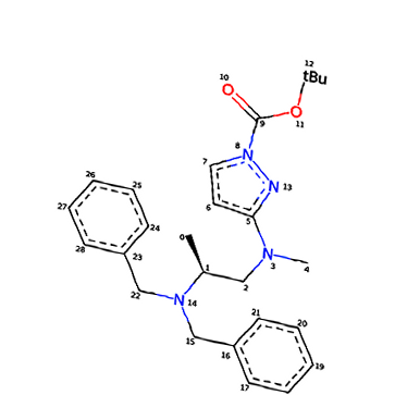 C[C@@H](CN(C)c1ccn(C(=O)OC(C)(C)C)n1)N(Cc1ccccc1)Cc1ccccc1